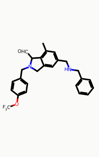 Cc1cc(CNCc2ccccc2)cc2c1C(C=O)N(Cc1ccc(OC(F)(F)F)cc1)C2